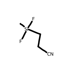 C[Si](F)(F)CCC#N